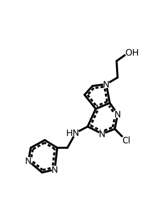 OCCn1ccc2c(NCc3ccncn3)nc(Cl)nc21